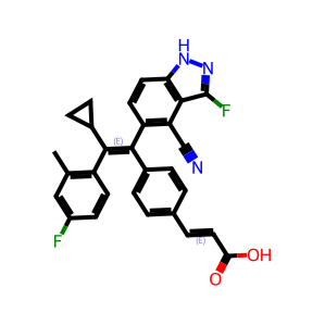 Cc1cc(F)ccc1/C(=C(\c1ccc(/C=C/C(=O)O)cc1)c1ccc2[nH]nc(F)c2c1C#N)C1CC1